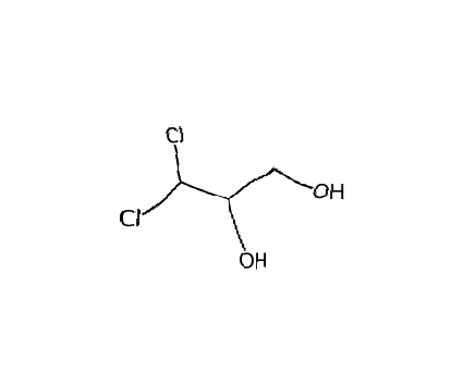 OCC(O)C(Cl)Cl